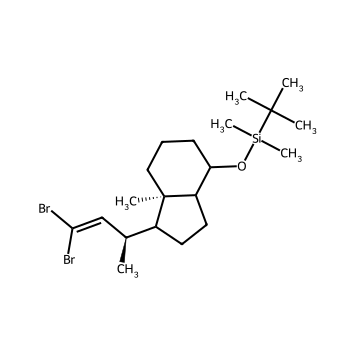 C[C@@H](C=C(Br)Br)C1CCC2C(O[Si](C)(C)C(C)(C)C)CCC[C@@]21C